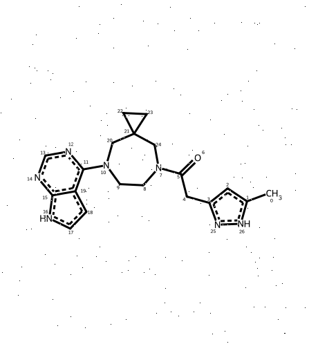 Cc1cc(CC(=O)N2CCN(c3ncnc4[nH]ccc34)CC3(CC3)C2)n[nH]1